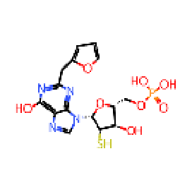 O=P(O)(O)OC[C@H]1O[C@@H](n2cnc3c(O)nc(Cc4ccco4)nc32)[C@H](S)[C@@H]1O